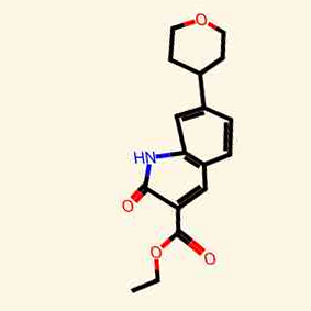 CCOC(=O)c1cc2ccc(C3CCOCC3)cc2[nH]c1=O